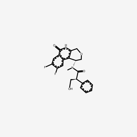 CN(C(=O)[C@H](CO)c1ccccc1)[C@H]1COCc2[nH]c(=O)c3cc(F)c(F)cc3c21